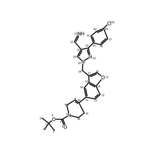 CC(C)(C)OC(=O)N1CC=C(c2ccc3occ(Cn4cc(C=N)c(-c5ccc(Cl)cc5)n4)c3c2)CC1